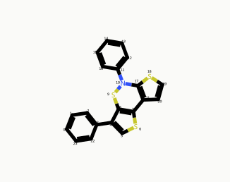 c1ccc(-c2csc3c2SN(c2ccccc2)c2sccc2-3)cc1